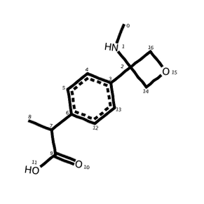 CNC1(c2ccc(C(C)C(=O)O)cc2)COC1